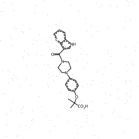 CC(C)(Oc1ccc(N2CCN(C(=O)c3c[nH]c4ccccc34)CC2)cc1)C(=O)O